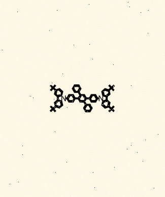 CC(C)(C)c1ccc2c(c1)c1cc(C(C)(C)C)ccc1n2-c1ccc(-c2cc(-c3ccccc3)c(-c3ccc(-n4c5ccc(C(C)(C)C)cc5c5cc(C(C)(C)C)ccc54)cc3)cc2-c2ccccc2)cc1